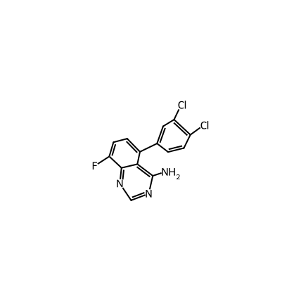 Nc1ncnc2c(F)ccc(-c3ccc(Cl)c(Cl)c3)c12